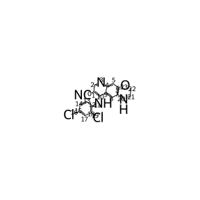 N#Cc1cnc2cc3c(cc2c1Nc1ccc(Cl)cc1Cl)NCCO3